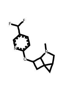 CN1CC2CC23CC(Oc2ccc(C(F)F)cn2)C13